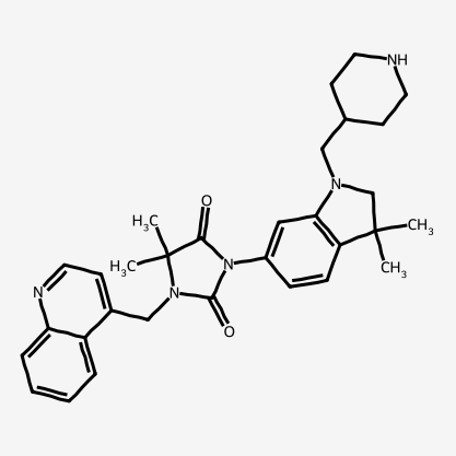 CC1(C)CN(CC2CCNCC2)c2cc(N3C(=O)N(Cc4ccnc5ccccc45)C(C)(C)C3=O)ccc21